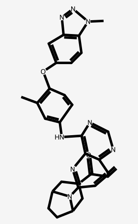 C=CC(=O)N1CC2CCC(C1)N2c1ccc2ncnc(Nc3ccc(Oc4ccc5c(c4)nnn5C)c(C)c3)c2n1